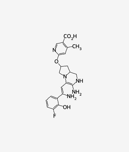 Cc1cc(OC2CC3CNC(N)=C(/C=C(\N)c4cccc(F)c4O)N3C2)ncc1C(=O)O